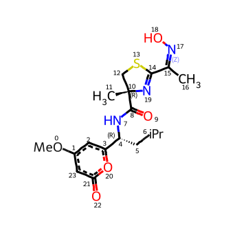 COc1cc([C@@H](CC(C)C)NC(=O)[C@]2(C)CSC(/C(C)=N\O)=N2)oc(=O)c1